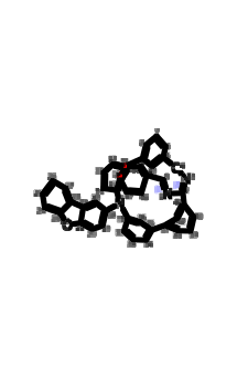 C(=N\C1=N/Cc2cccc(c2)-c2cccc(c2)N(c2ccc3oc4ccccc4c3c2)c2cccc(c2)-c2cccc1c2)/c1ccccc1